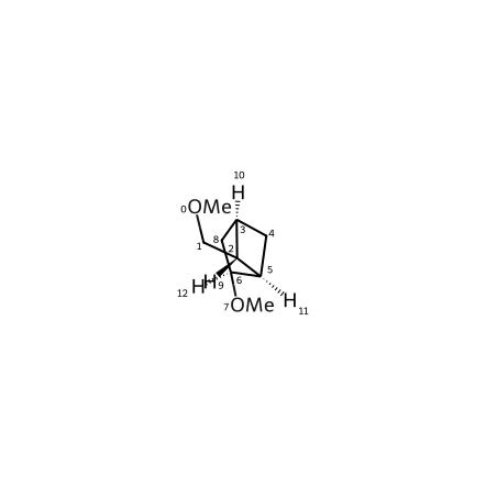 COC[C@@H]1[C@@H]2C[C@H]1[C@@H](OC)C2